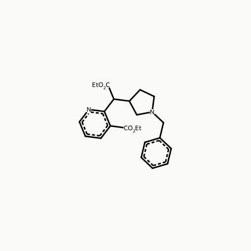 CCOC(=O)c1cccnc1C(C(=O)OCC)C1CCN(Cc2ccccc2)C1